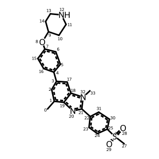 Cc1cc(-c2ccc(OC3CCNCC3)cc2)cc2c1nc(-c1ccc(S(C)(=O)=O)cc1)n2C